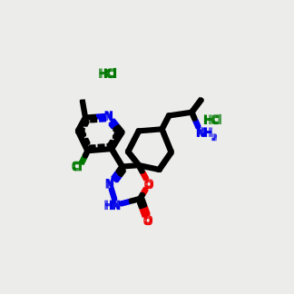 Cc1cc(Cl)c(C2=NNC(=O)OC23CCC(CC(C)N)CC3)cn1.Cl.Cl